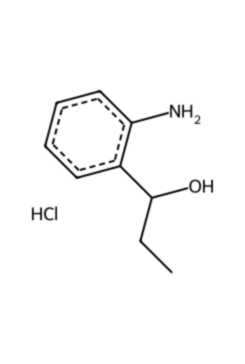 CCC(O)c1ccccc1N.Cl